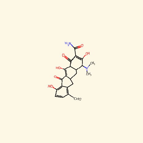 CN(C)C1C(O)=C(C(N)=O)C(=O)C2C(O)=C3C(=O)c4c(O)ccc(C=O)c4CC3CC21